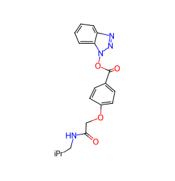 CC(C)CNC(=O)COc1ccc(C(=O)On2nnc3ccccc32)cc1